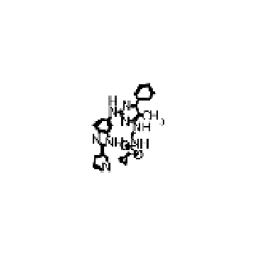 Cc1c(NCNS(=O)(=O)C2CC2)nc(Nc2ccc3nc(-c4cccnc4)[nH]c3c2)nc1-c1ccccc1